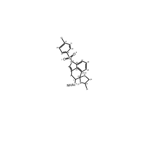 CC(=O)NC1Cc2cn(S(=O)(=O)c3ccc(C)cc3)c3cccc(c23)C12SCC(C)S2